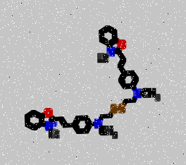 CC[n+]1c(/C=C/c2ccc(N(C)CCSSCCN(C)c3ccc(/C=C/c4oc5ccccc5[n+]4CC)cc3)cc2)oc2ccccc21